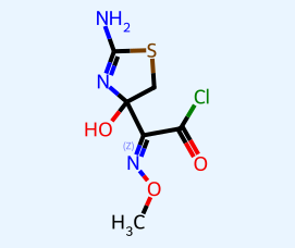 CO/N=C(\C(=O)Cl)C1(O)CSC(N)=N1